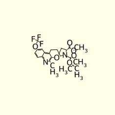 COC(=O)[C@@H]1CC2(CCc3c(c(C)nc4ccc(OC(F)(F)F)cc34)O2)CN1C(=O)OC(C)(C)C